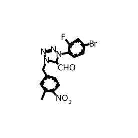 Cc1cc(CN2N=NN(c3ccc(Br)cc3F)C2C=O)ccc1[N+](=O)[O-]